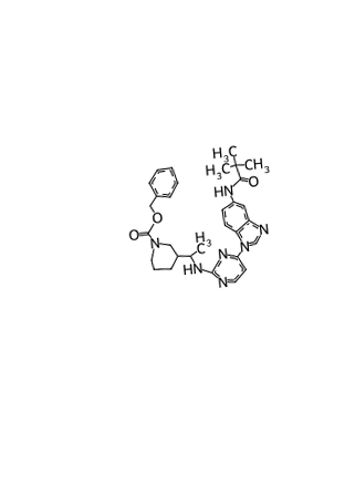 CC(Nc1nccc(-n2cnc3cc(NC(=O)C(C)(C)C)ccc32)n1)C1CCCN(C(=O)OCc2ccccc2)C1